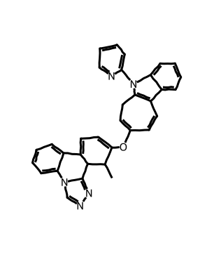 CC1C(OC2=CCc3c(c4ccccc4n3-c3ccccn3)C=C2)=CC=C2c3ccccc3-n3cnnc3C21